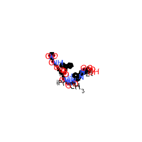 CC[C@@]1(O)C(=O)OCc2c1cc1n(c2=O)Cc2c-1nc1ccc(NC(=O)[C@H](C)NC(=O)C(NC(=O)CC[C@H](CC(=O)CCOCCNC(=O)CCN3C(=O)C=CC3=O)C(=O)OCC3c4ccccc4-c4ccccc43)C(C)C)c3c1c2CCC3